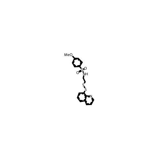 COc1ccc(S(=O)(=O)NCCSSc2cccc3cccnc23)cc1